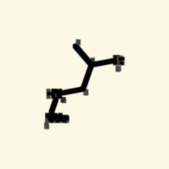 CCC(C)CNNC